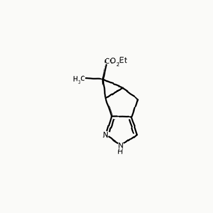 CCOC(=O)C1(C)C2Cc3c[nH]nc3C21